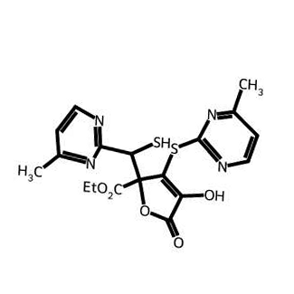 CCOC(=O)C1(C(S)c2nccc(C)n2)OC(=O)C(O)=C1Sc1nccc(C)n1